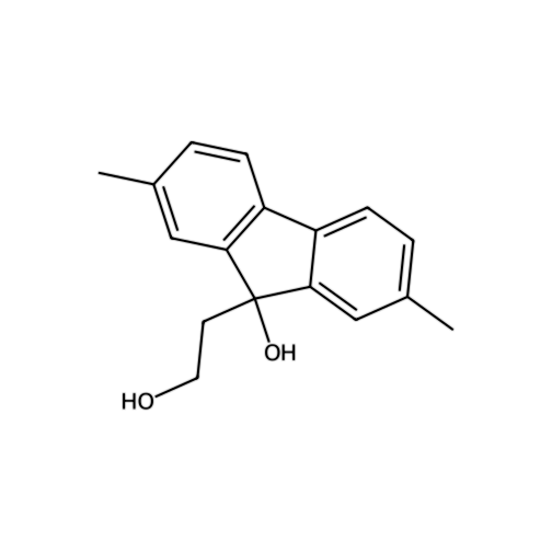 Cc1ccc2c(c1)C(O)(CCO)c1cc(C)ccc1-2